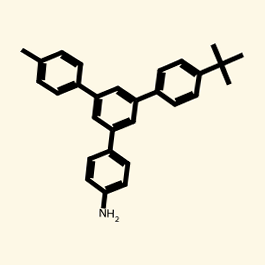 Cc1ccc(-c2cc(-c3ccc(N)cc3)cc(-c3ccc(C(C)(C)C)cc3)c2)cc1